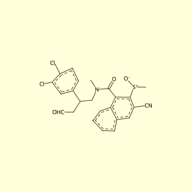 CN(CC(CC=O)c1ccc(Cl)c(Cl)c1)C(=O)c1c([S+](C)[O-])c(C#N)cc2ccccc12